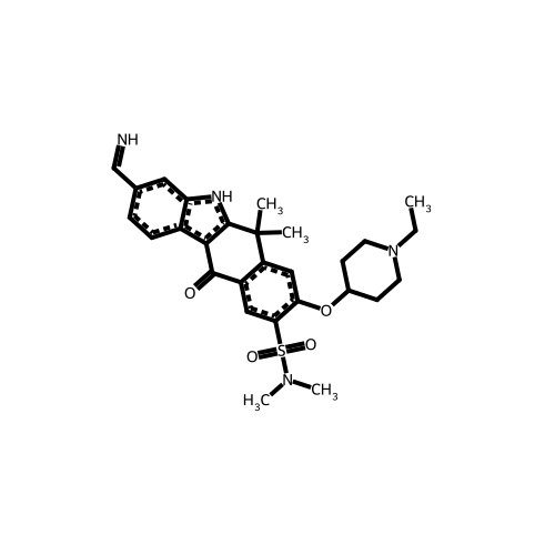 CCN1CCC(Oc2cc3c(cc2S(=O)(=O)N(C)C)C(=O)c2c([nH]c4cc(C=N)ccc24)C3(C)C)CC1